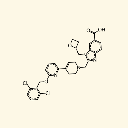 O=C(O)c1ccc2nc(CN3CC=C(c4cccc(OCc5c(Cl)cccc5Cl)n4)CC3)n(C[C@@H]3CCO3)c2c1